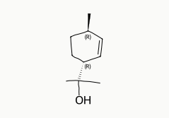 C[C@H]1C=C[C@H](C(C)(C)O)CC1